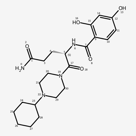 NC(=O)CC[C@H](NC(=O)c1ccc(O)cc1O)C(=O)N1CCN(C2CCCCC2)CC1